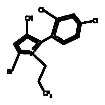 N#Cc1cc(Br)n(CCC(F)(F)F)c1-c1ccc(Cl)cc1Cl